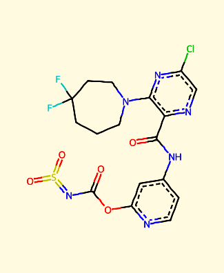 O=C(N=S(=O)=O)Oc1cc(NC(=O)c2ncc(Cl)nc2N2CCCC(F)(F)CC2)ccn1